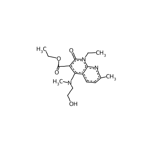 CCOC(=O)c1c(N(C)CCO)c2ccc(C)nc2n(CC)c1=O